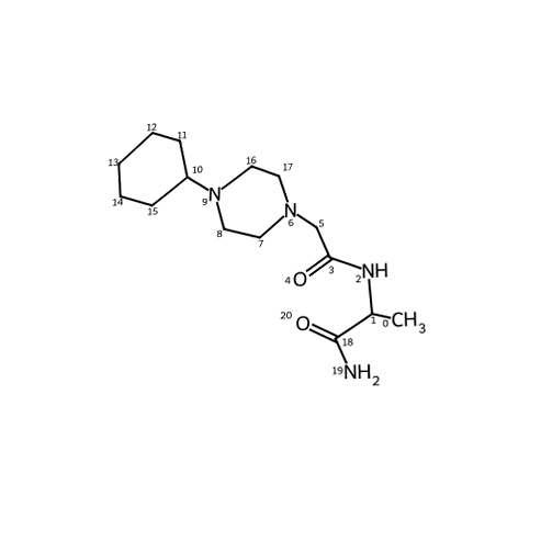 CC(NC(=O)CN1CCN(C2CCCCC2)CC1)C(N)=O